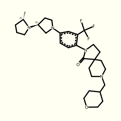 C[C@H]1CCCN1[C@H]1CCN(c2ccc(N3CCC4(CCN(CC5CCOCC5)CC4)C3=O)c(C(F)(F)F)c2)C1